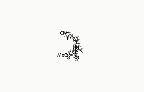 COC(=O)c1ccc(NC(=O)C(C2CC2)N2CCC(c3cccc(OCc4ccc(Cl)cc4F)n3)CC2)c(CC2CCO2)c1